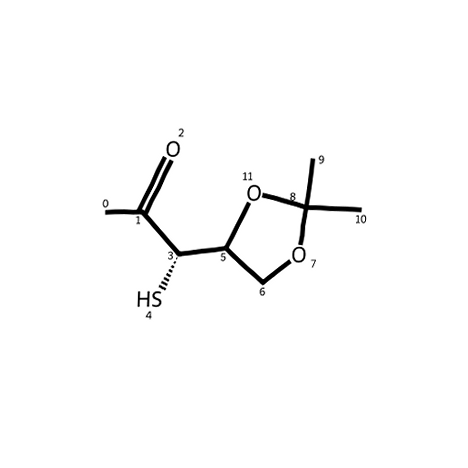 CC(=O)[C@@H](S)C1COC(C)(C)O1